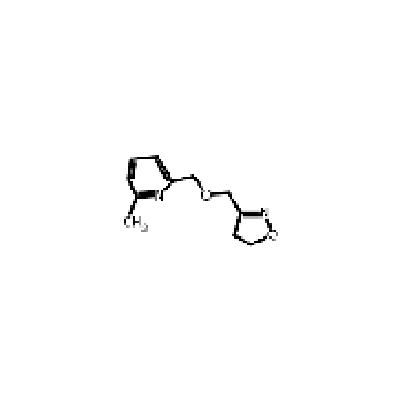 Cc1cccc(COCC2=NOCC2)n1